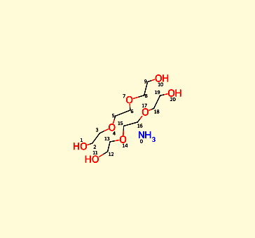 N.OCCOCCOCCO.OCCOCCOCCO